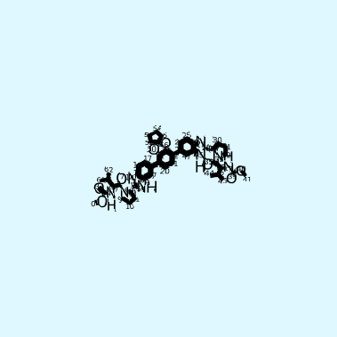 COC(=O)N[C@H](C(=O)N1CCC[C@H]1c1nc2ccc(-c3ccc(-c4ccc5nc([C@@H]6CCCN6C(=O)[C@@H](NC(=O)OC)C(C)C)[nH]c5c4)c4c3OC3(CCCC3)O4)cc2[nH]1)C(C)C